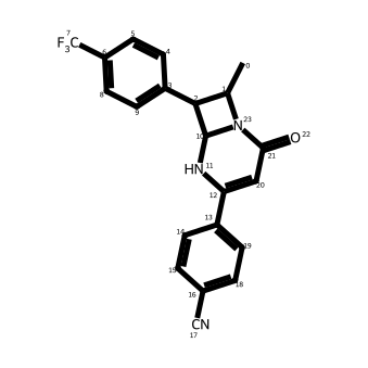 CC1C(c2ccc(C(F)(F)F)cc2)C2NC(c3ccc(C#N)cc3)=CC(=O)N12